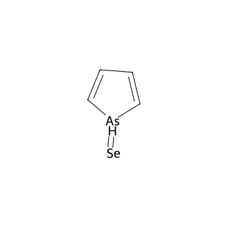 [Se]=[AsH]1C=CC=C1